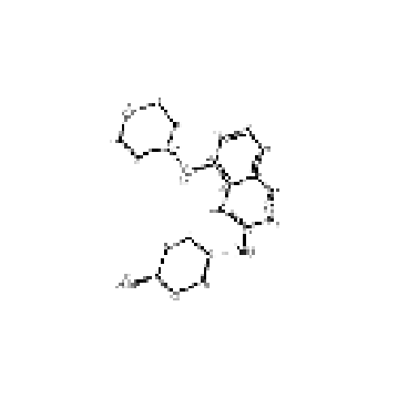 N[C@H]1CC[C@H](Nc2ncc3cccc(OC4CCOCC4)c3n2)CC1